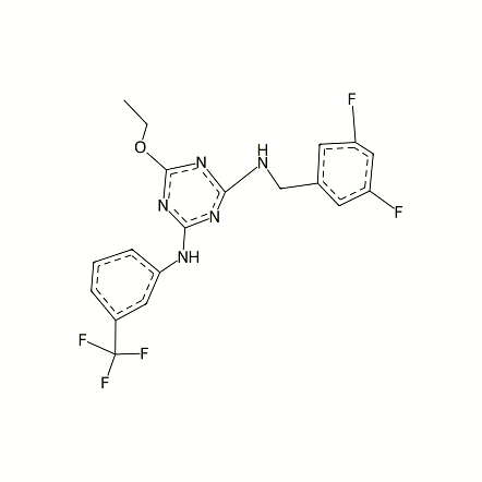 CCOc1nc(NCc2cc(F)cc(F)c2)nc(Nc2cccc(C(F)(F)F)c2)n1